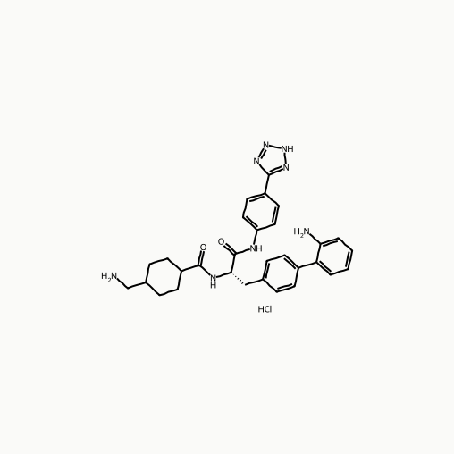 Cl.NCC1CCC(C(=O)N[C@@H](Cc2ccc(-c3ccccc3N)cc2)C(=O)Nc2ccc(-c3nn[nH]n3)cc2)CC1